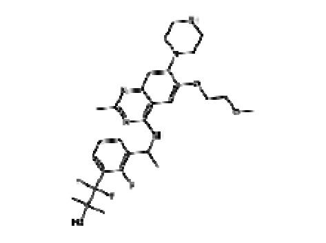 COCCOc1cc2c(NC(C)c3cccc(C(F)(F)C(C)(C)O)c3F)nc(C)nc2cc1N1CCNCC1